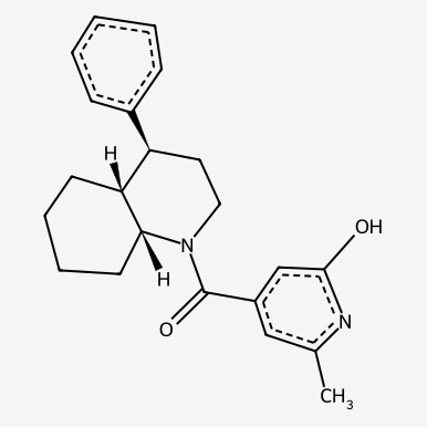 Cc1cc(C(=O)N2CC[C@H](c3ccccc3)[C@H]3CCCC[C@H]32)cc(O)n1